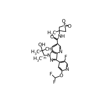 C[C@@H](n1nc(-c2cc(OC(F)F)ncc2F)c2ncc(C(=O)NC3(C)CS(=O)(=O)C3)cc21)C(C)(C)O